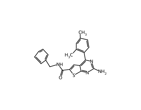 Cc1ccc(-c2nc(N)nc3sc(C(=O)NCc4ccccc4)cc23)c(C)c1